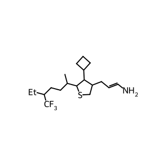 CCC(CCC(C)C1SCC(C/C=C/N)C1C1CCC1)C(F)(F)F